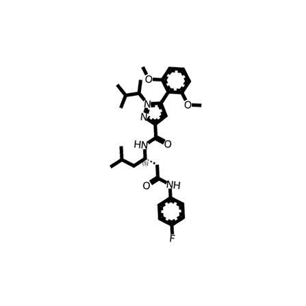 COc1cccc(OC)c1-c1cc(C(=O)N[C@H](CC(=O)Nc2ccc(F)cc2)CC(C)C)nn1C(C)C(C)C